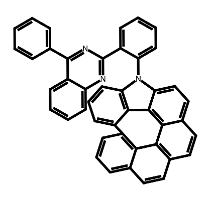 c1ccc(-c2nc(-c3ccccc3-n3c4cccc5c4c4c6c(ccc7ccc8cccc-5c8c76)ccc43)nc3ccccc23)cc1